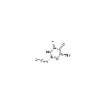 N=c1on(N=C=O)[nH]c(=O)c1=O